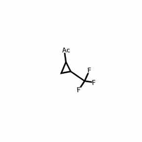 CC(=O)C1CC1C(F)(F)F